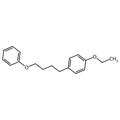 CCOc1ccc(CCCCOc2cc[c]cc2)cc1